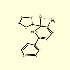 NC1=CC=C(c2ccncc2)NC1(N)C1CCCC1